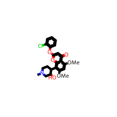 COc1cc(OC)c2c(=O)cc(Oc3ccccc3Cl)oc2c1C1CCN(C)CC1O